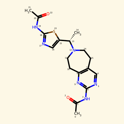 CC(=O)Nc1ncc2c(n1)CCN([C@@H](C)c1cnc(NC(C)=O)s1)CC2